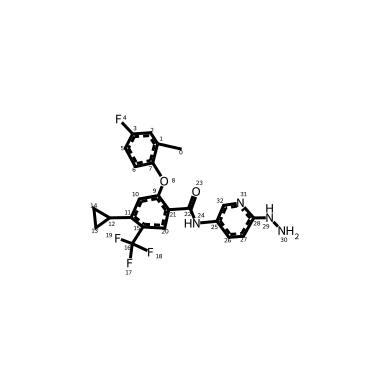 Cc1cc(F)ccc1Oc1cc(C2CC2)c(C(F)(F)F)cc1C(=O)Nc1ccc(NN)nc1